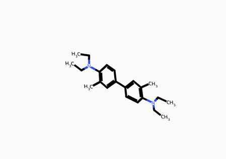 CCN(CC)c1ccc(-c2ccc(N(CC)CC)c(C)c2)cc1C